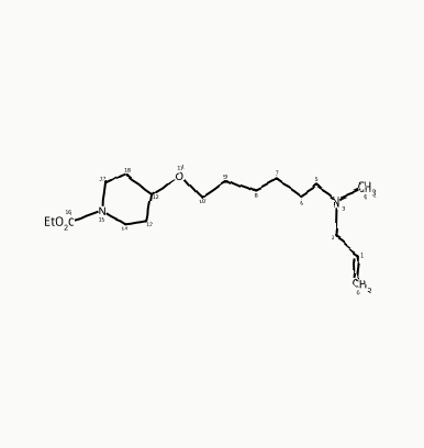 C=CCN(C)CCCCCCOC1CCN(C(=O)OCC)CC1